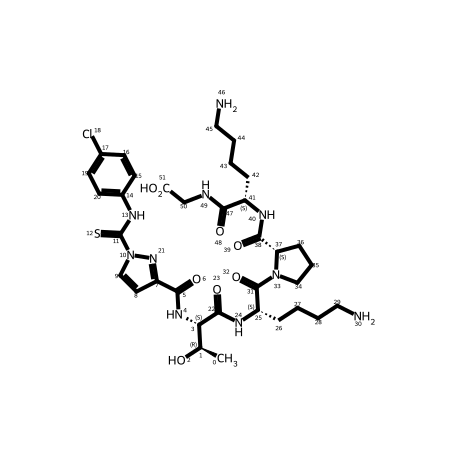 C[C@@H](O)[C@H](NC(=O)c1ccn(C(=S)Nc2ccc(Cl)cc2)n1)C(=O)N[C@@H](CCCCN)C(=O)N1CCC[C@H]1C(=O)N[C@@H](CCCCN)C(=O)NCC(=O)O